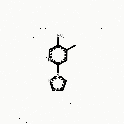 Cc1cc(-n2cccn2)ncc1[N+](=O)[O-]